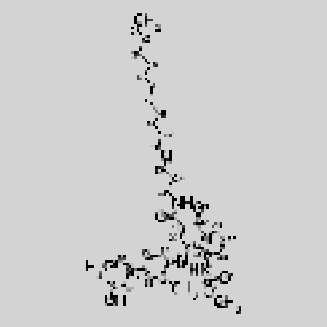 CCCCCCCCCCCCOCCCNC(=O)C1=C/C(=N\c2ccc(N(CC)CCO)cc2C)c2c(NC(=O)OC)cccc2C1=O